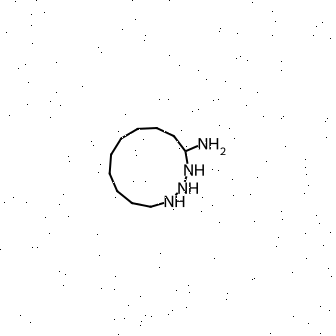 NC1CCCCCCCCCNNN1